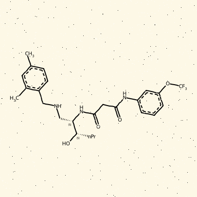 CCC[C@H](O)[C@H](CNCc1ccc(C)cc1C)NC(=O)CC(=O)Nc1cccc(OC(F)(F)F)c1